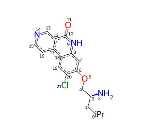 CC(C)C[C@H](N)COc1cc2[nH]c(=O)c3cnccc3c2cc1Cl